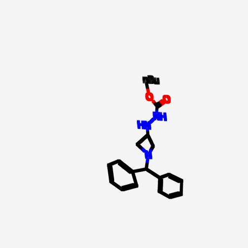 CCCCOC(=O)NNC1CN(C(c2ccccc2)c2ccccc2)C1